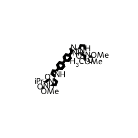 COC(=O)N[C@H](C(=O)N1CCC[C@H]1c1ccc(-c2ccc(-c3ccc(-c4cnc([C@@H]5CCCN5C(=O)[C@@H](NC(=O)OC)[C@@H](C)OC)[nH]4)cc3)cc2)[nH]1)C(C)C